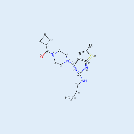 CCc1cc2c(N3CCN(C(=O)C4CCC4)CC3)nc(NCCC(=O)O)nc2s1